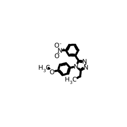 CCc1nnc(-c2cccc([N+](=O)[O-])c2)n1-c1ccc(OC)cc1